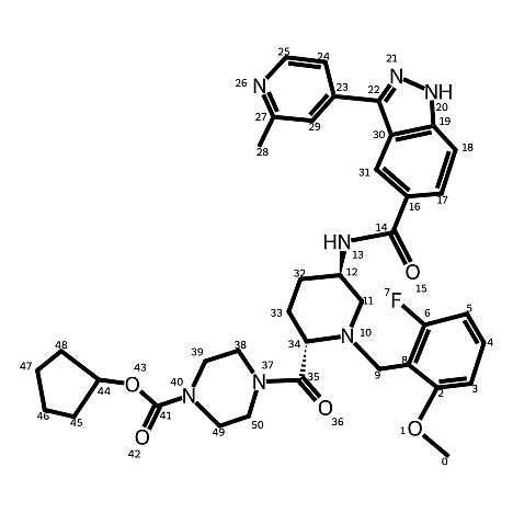 COc1cccc(F)c1CN1C[C@H](NC(=O)c2ccc3[nH]nc(-c4ccnc(C)c4)c3c2)CC[C@H]1C(=O)N1CCN(C(=O)OC2CCCC2)CC1